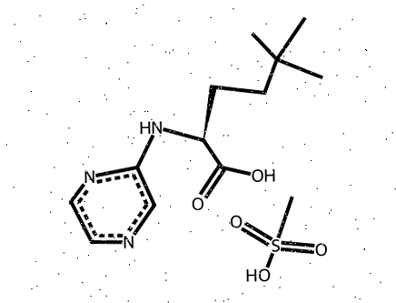 CC(C)(C)CC[C@H](Nc1cnccn1)C(=O)O.CS(=O)(=O)O